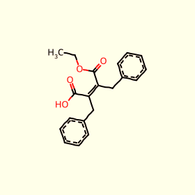 CCOC(=O)/C(Cc1ccccc1)=C(/Cc1ccccc1)C(=O)O